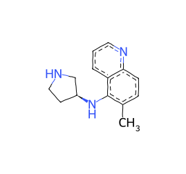 Cc1ccc2ncccc2c1N[C@H]1CCNC1